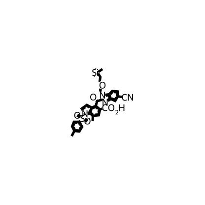 Cc1ccc(S(=O)(=O)n2ccc3c(C(=O)c4nc5cc(C#N)ccc5n4COCC[Si](C)(C)C)c(C(=O)O)cc(C)c32)cc1